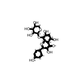 O=c1c(O)c(-c2ccc(O)cc2)oc2c(OC3OCC(O)C(O)C3O)c(O)cc(O)c12